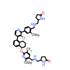 COc1cc(-c2nccc(-c3cccc4c3CCC[C@@H]4Oc3nc(OC)c(CNCC4CCC(=O)N4)cc3C(F)(F)F)c2Cl)ccc1CNCC1CCC(=O)N1